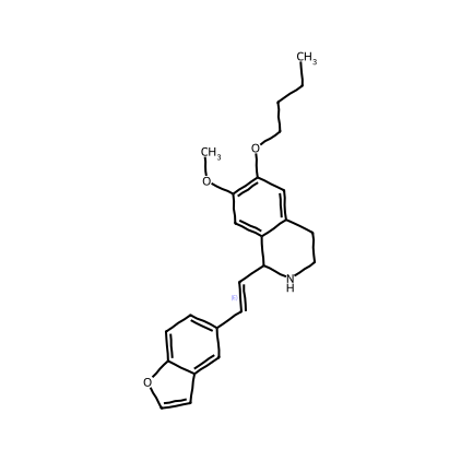 CCCCOc1cc2c(cc1OC)C(/C=C/c1ccc3occc3c1)NCC2